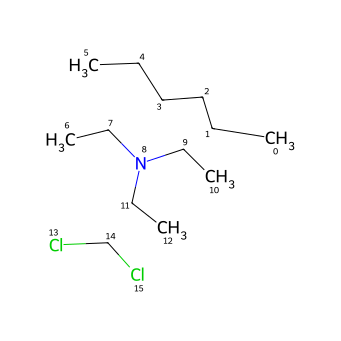 CCCCCC.CCN(CC)CC.ClCCl